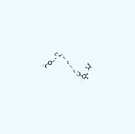 Cc1cc(C)c(CNC(=O)c2cc(C3=CCN(C(=O)COCCOCCOCC(=O)N[C@H](C(=O)N4C[C@H](O)C[C@H]4C(=O)NCc4ccc(-c5scnc5C)cc4)C(C)(C)C)CC3)cc(NC(C)C)c2C=N)c(=O)[nH]1